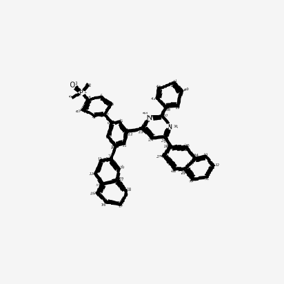 CP(C)(=O)c1ccc(-c2cc(-c3ccc4ccccc4c3)cc(-c3cc(-c4ccc5ccccc5c4)nc(-c4ccccc4)n3)c2)cc1